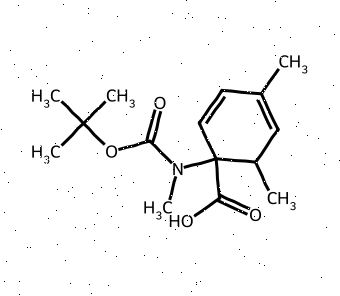 CC1=CC(C)C(C(=O)O)(N(C)C(=O)OC(C)(C)C)C=C1